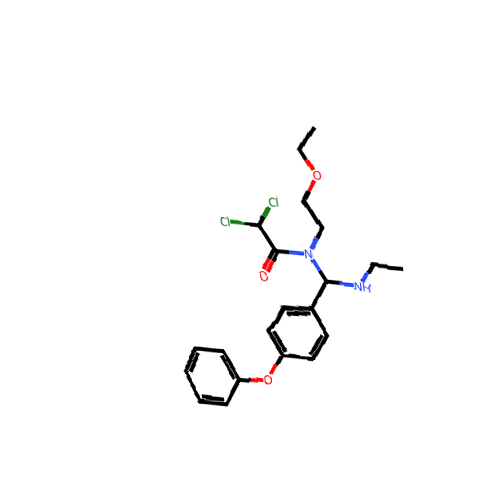 CCNC(c1ccc(Oc2ccccc2)cc1)N(CCOCC)C(=O)C(Cl)Cl